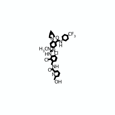 Cn1c(Nc2c(Cl)ccc(CNC(=O)c3cccc(CO)n3)c2Cl)nc2cc(C(=O)N[C@H]3CC[C@H](C(F)(F)F)CC3)c(N3CC4CC4C3)cc21